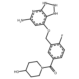 Nc1cc(OCc2cc(C(=O)N3CCC(O)CC3)ccc2F)c2c(n1)NNN2